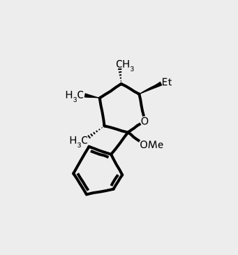 CC[C@H]1OC(OC)(c2ccccc2)[C@H](C)[C@@H](C)[C@@H]1C